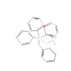 [O-][I+3]([O-])([O-])OP(Cc1ccccc1)(c1ccccc1)(c1ccccc1)c1ccccc1